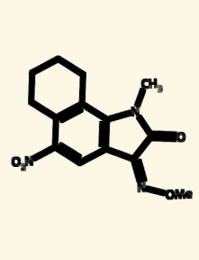 CON=C1C(=O)N(C)c2c1cc([N+](=O)[O-])c1c2CCCC1